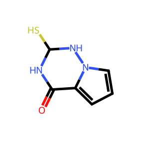 O=C1NC(S)Nn2cccc21